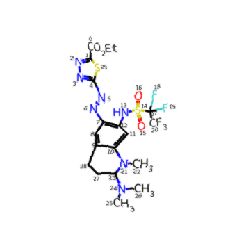 CCOC(=O)c1nnc(N=Nc2cc3c(cc2NS(=O)(=O)C(F)(F)C(F)(F)F)N(C)C(N(C)C)CC3)s1